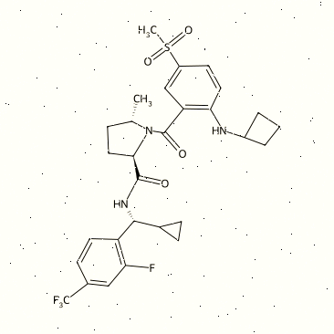 C[C@H]1CC[C@H](C(=O)N[C@@H](c2ccc(C(F)(F)F)cc2F)C2CC2)N1C(=O)c1cc(S(C)(=O)=O)ccc1NC1CCC1